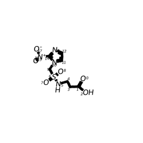 O=C(O)CCNS(=O)(=O)Cn1ccnc1[N+](=O)[O-]